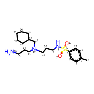 Cc1ccc(S(=O)(=O)NCCCN(CCCN)CC2CCCCC2)cc1